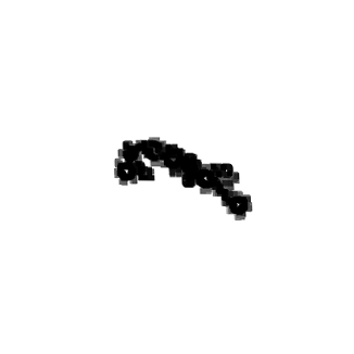 CCOc1ccccc1-c1csc(CN2CCN(c3ccc(C(=O)NS(=O)(=O)c4ccc(NCCSc5ccccc5)c([N+](=O)[O-])c4)nn3)CC2)c1